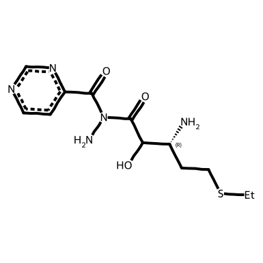 CCSCC[C@@H](N)C(O)C(=O)N(N)C(=O)c1ccncn1